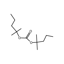 CCCC(C)(C)OC(=O)OC(C)(C)CCC